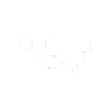 C=CC(=O)OC(C)(C)C(C)(S)Oc1ccc2cc(-c3ccccc3)n(CC(C)C)c2c1